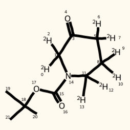 [2H]C1([2H])C(=O)C([2H])([2H])C([2H])([2H])C([2H])([2H])N1C(=O)OC(C)(C)C